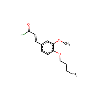 CCCCOc1ccc(/C=C/C(=O)Cl)cc1OC